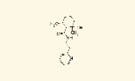 CC1CCCC(C)(C)C1C(=O)NCCc1ccccn1